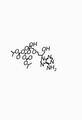 CC(C)OC(=O)OC(OC(=O)OC(C)C)OP(=O)(O)COCCC(CO)n1cnc2c(N)ncnc21